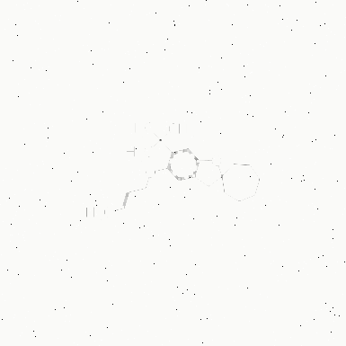 CC=CCOc1cc2c(cc1C(C)(C)C)OC1(CCCCCC1)C2